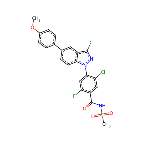 COc1ccc(-c2ccc3c(c2)c(Cl)nn3-c2cc(F)c(C(=O)NS(C)(=O)=O)cc2Cl)cc1